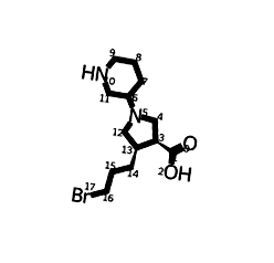 O=C(O)[C@@H]1CN(C2CCCNC2)C[C@@H]1CCCBr